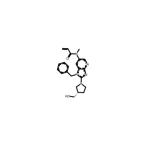 C=CC(=O)N(C)c1cnc2nc(N3CC[C@H](CO)C3)n(Cc3ccccc3)c2c1